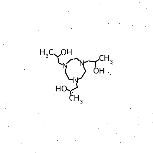 CC(O)CN1CCN(CC(C)O)CCN(CC(C)O)CC1